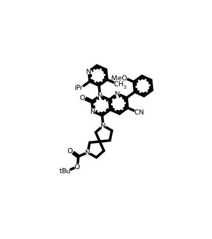 COc1ccccc1-c1nc2c(cc1C#N)c(N1CCC3(CCN(C(=O)OC(C)(C)C)C3)C1)nc(=O)n2-c1c(C)ccnc1C(C)C